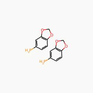 Pc1ccc2c(c1)OCO2.Pc1ccc2c(c1)OCO2